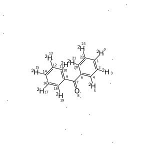 [2H]c1c([2H])c([2H])c(C(=O)c2c([2H])c([2H])c([2H])c([2H])c2[2H])c([2H])c1[2H]